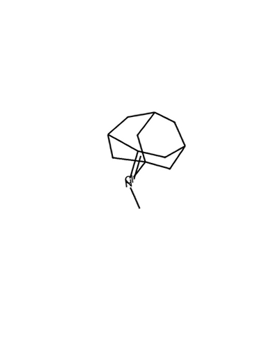 C/N=C1\CC2CC3CC1CC(Cl)(C2)C3